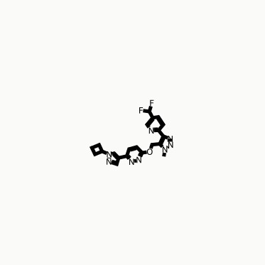 Cn1nnc(-c2ccc(C(F)F)cn2)c1COc1ccc(-c2cnn(C3CCC3)c2)nn1